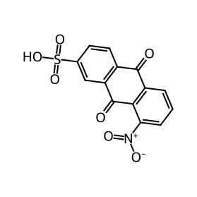 O=C1c2ccc(S(=O)(=O)O)cc2C(=O)c2c1cccc2[N+](=O)[O-]